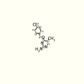 Cc1cnc(N)nc1OCc1ccc(Cl)cc1